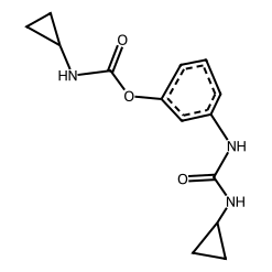 O=C(Nc1cccc(OC(=O)NC2CC2)c1)NC1CC1